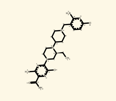 CC[C@H]1CN(c2nc(N)c(C(N)=O)nc2Cl)CCN1C1CCN(Cc2ccc(Cl)nc2N)CC1